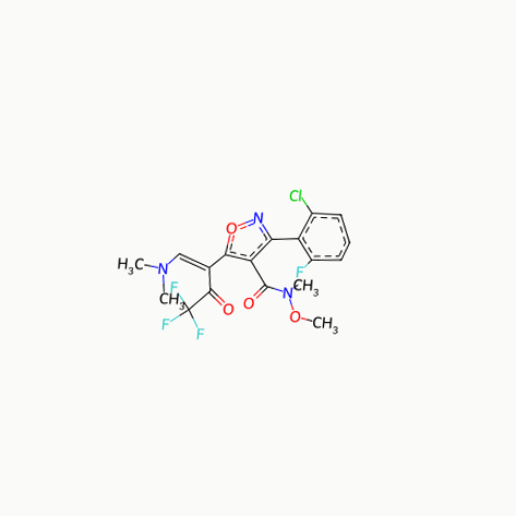 CON(C)C(=O)c1c(-c2c(F)cccc2Cl)noc1C(=CN(C)C)C(=O)C(F)(F)F